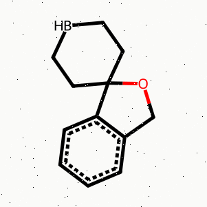 B1CCC2(CC1)OCc1ccccc12